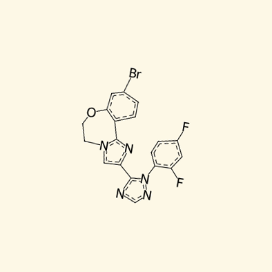 Fc1ccc(-n2ncnc2-c2cn3c(n2)-c2ccc(Br)cc2OCC3)c(F)c1